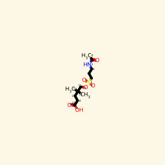 CC(=O)NCCCS(=O)(=O)OCC(C)(C)CCC(=O)O